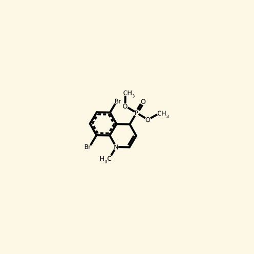 COP(=O)(OC)C1C=CN(C)c2c(Br)ccc(Br)c21